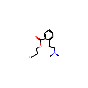 CC(C)CCOC(=O)c1ccccc1CCN(C)C